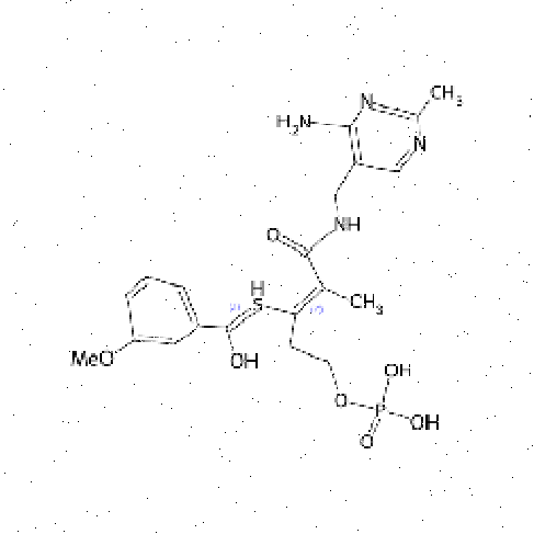 COc1cccc(/C(O)=[SH]/C(CCOP(=O)(O)O)=C(/C)C(=O)NCc2cnc(C)nc2N)c1